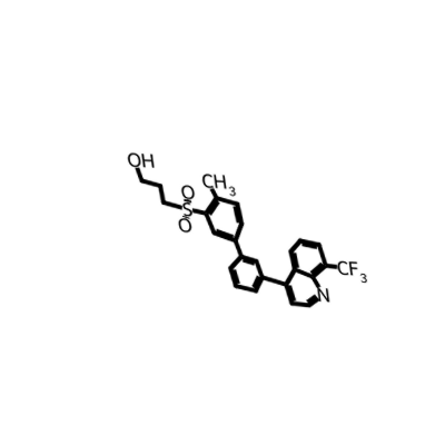 Cc1ccc(-c2cccc(-c3ccnc4c(C(F)(F)F)cccc34)c2)cc1S(=O)(=O)CCCO